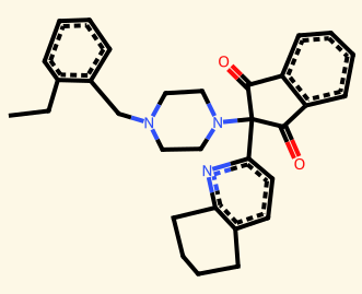 CCc1ccccc1CN1CCN(C2(c3ccc4c(n3)CCCC4)C(=O)c3ccccc3C2=O)CC1